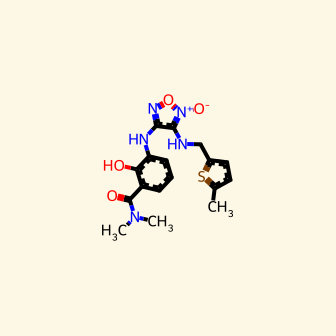 Cc1ccc(CNc2c(Nc3cccc(C(=O)N(C)C)c3O)no[n+]2[O-])s1